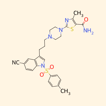 Cc1ccc(S(=O)(=O)n2cc(CCCN3CCN(c4nc(C)c(C(N)=O)s4)CC3)c3cc(C#N)ccc32)cc1